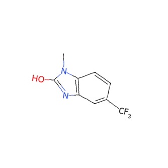 Cn1c(O)nc2cc(C(F)(F)F)ccc21